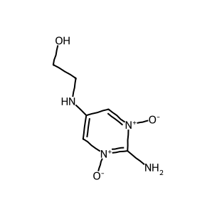 Nc1[n+]([O-])cc(NCCO)c[n+]1[O-]